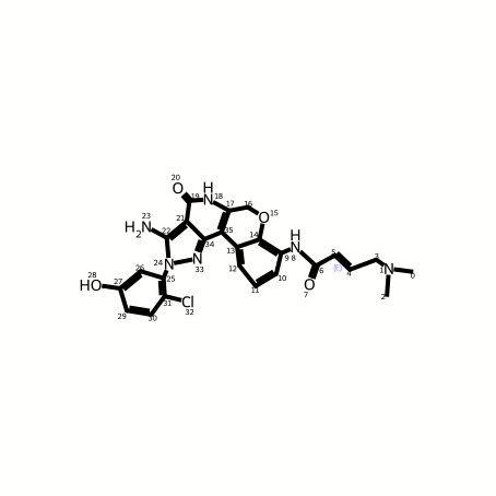 CN(C)C/C=C/C(=O)Nc1cccc2c1OCc1[nH]c(=O)c3c(N)n(-c4cc(O)ccc4Cl)nc3c1-2